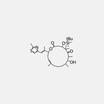 CC1=CCC(C(C)=Cc2csc(C)n2)OC(=O)CC(O[Si](C)(C)C(C)(C)C)C(C)(C)C(=O)C(C)C(O)C(C)CCC1